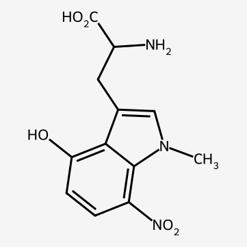 Cn1cc(CC(N)C(=O)O)c2c(O)ccc([N+](=O)[O-])c21